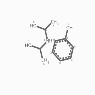 CC(O)NC(C)O.Oc1ccccc1